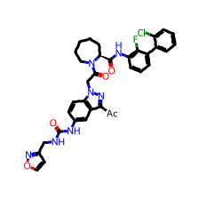 CC(=O)c1nn(CC(=O)N2CCCCC[C@H]2C(=O)Nc2cccc(-c3ccccc3Cl)c2F)c2ccc(NC(=O)NCc3ccon3)cc12